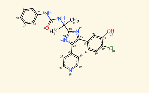 CC(C)(NC(=O)Nc1ccccc1)c1nc(-c2ccc(Cl)c(O)c2)c(-c2ccncc2)[nH]1